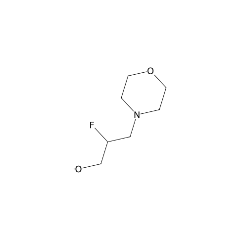 [O]CC(F)CN1CCOCC1